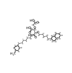 Cc1ccc(CCCCCCNC(=O)C(OCCCCCc2ccc3ccccc3c2)C(OCC(=O)O)C(=O)O)cc1